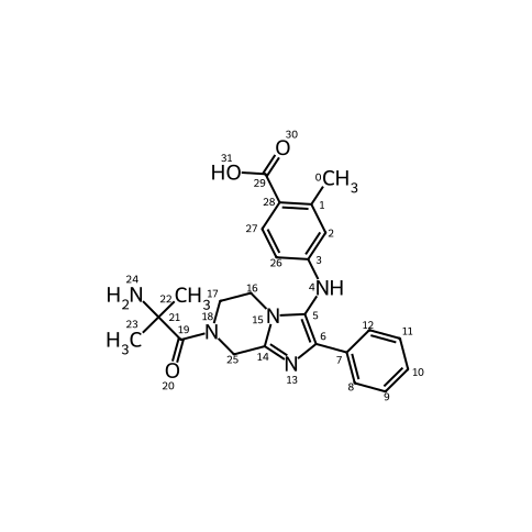 Cc1cc(Nc2c(-c3ccccc3)nc3n2CCN(C(=O)C(C)(C)N)C3)ccc1C(=O)O